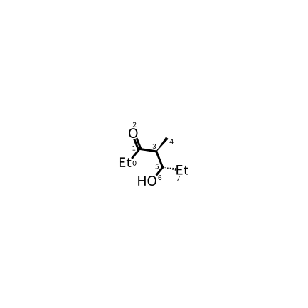 CCC(=O)[C@@H](C)[C@@H](O)CC